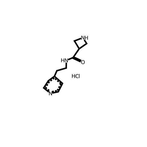 Cl.O=C(NCCc1ccncc1)C1CNC1